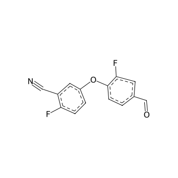 N#Cc1cc(Oc2ccc(C=O)cc2F)ccc1F